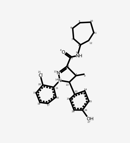 CC1C(C(=O)NC2CCCCCC2)=NN(c2ccccc2Cl)C1c1ccc(O)cc1